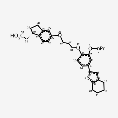 CCCOc1cc(-c2cc3c(s2)CCCC3)ccc1OCCCOc1ccc2c(c1)CC[C@H]2CC(=O)O